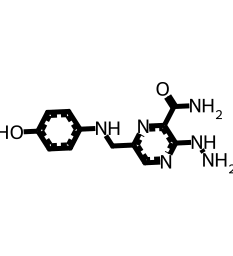 NNc1ncc(CNc2ccc(O)cc2)nc1C(N)=O